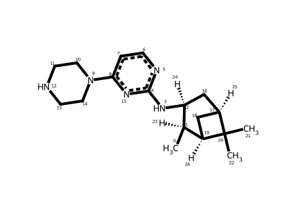 C[C@H]1[C@@H](Nc2nccc(N3CCNCC3)n2)C[C@@H]2C[C@H]1C2(C)C